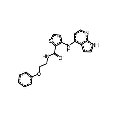 O=C(NCCOc1ccccc1)c1sccc1Nc1ccnc2[nH]ccc12